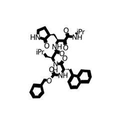 CC(C)C[C@H](NC(=O)[C@H](Cc1cccc2ccccc12)NC(=O)OCc1ccccc1)C(=O)N[C@@H](C[C@@H]1CCNC1=O)C(=O)C(=O)NC(C)C